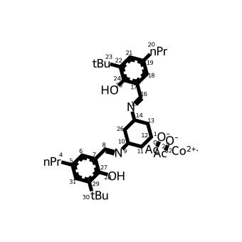 CC(=O)[O-].CC(=O)[O-].CCCc1cc(C=NC2CCCC(N=Cc3cc(CCC)cc(C(C)(C)C)c3O)C2)c(O)c(C(C)(C)C)c1.[Co+2]